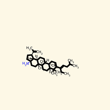 C=C(C)[C@@H]1CC[C@]2(N)CC[C@]3(C)[C@H](CC[C@@H]4[C@@]5(C)CC=C(/C(=C/CC(C)C)CC)C(C)(C)[C@@H]5CC[C@]43C)[C@@H]12